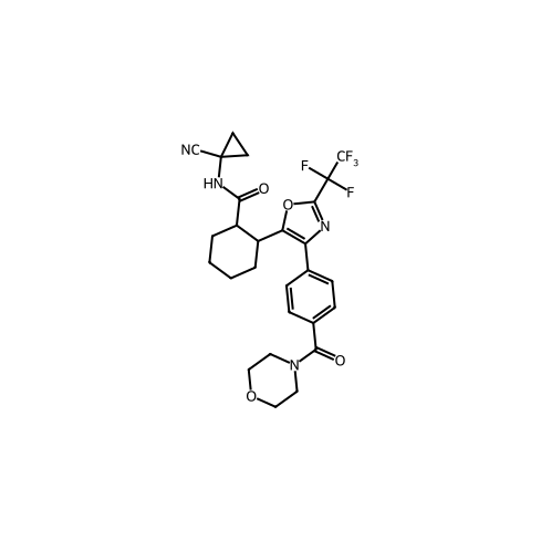 N#CC1(NC(=O)C2CCCCC2c2oc(C(F)(F)C(F)(F)F)nc2-c2ccc(C(=O)N3CCOCC3)cc2)CC1